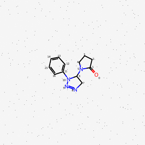 O=C1CCCN1C1CN=NN1c1ccccc1